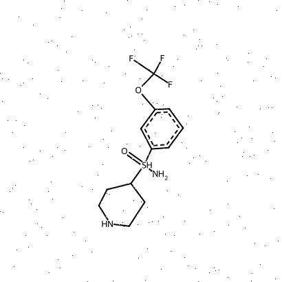 N[SH](=O)(c1cccc(OC(F)(F)F)c1)C1CCNCC1